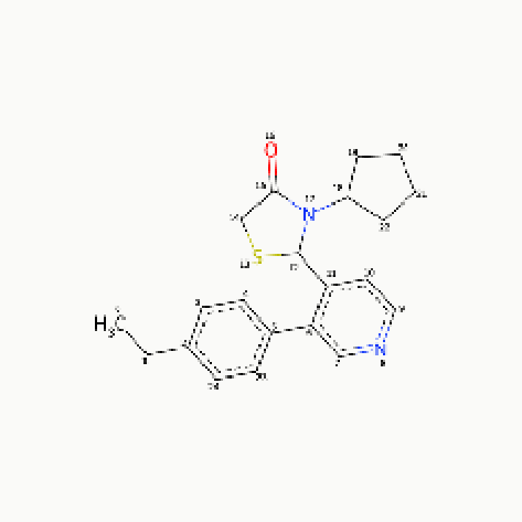 CCc1ccc(-c2cnccc2C2SCC(=O)N2C2CCCC2)cc1